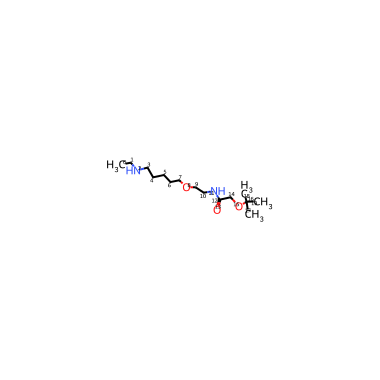 CCNCCCCCOCCNC(=O)COC(C)(C)C